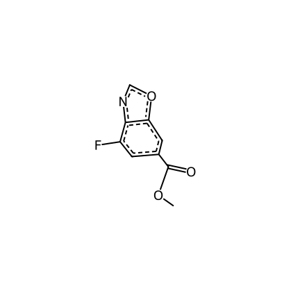 COC(=O)c1cc(F)c2ncoc2c1